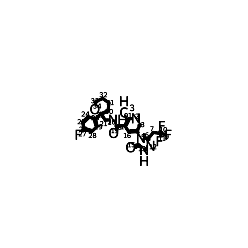 Cc1ncc(-n2c(CC(F)(F)F)n[nH]c2=O)cc1C(=O)NCC1(c2ccc(F)cc2)CCCCO1